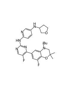 CCC(C)N1CC(C)(C)Oc2c(F)cc(-c3nc(Nc4ccc(NC5CCOC5)cn4)ncc3F)cc21